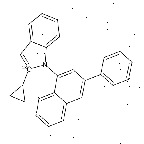 c1ccc(-c2cc(-n3c4ccccc4c[13c]3C3CC3)c3ccccc3c2)cc1